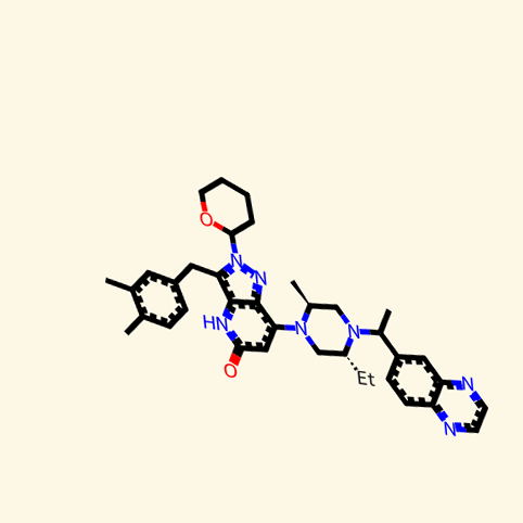 CC[C@@H]1CN(c2cc(=O)[nH]c3c(Cc4ccc(C)c(C)c4)n(C4CCCCO4)nc23)[C@@H](C)CN1C(C)c1ccc2nccnc2c1